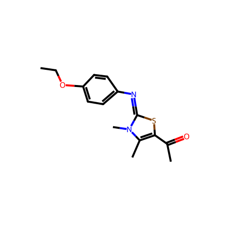 CCOc1ccc(N=c2sc(C(C)=O)c(C)n2C)cc1